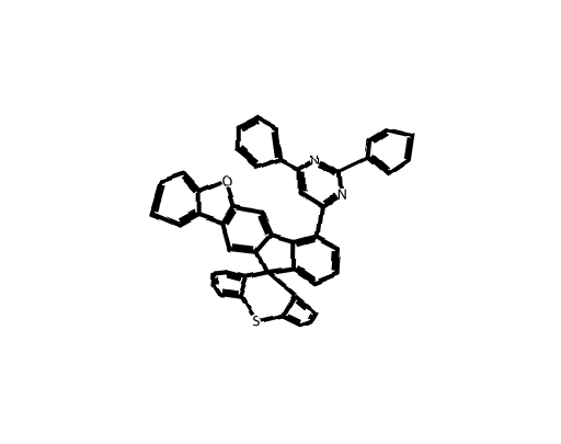 c1ccc(-c2cc(-c3cccc4c3-c3cc5oc6ccccc6c5cc3C43c4ccccc4Sc4ccccc43)nc(-c3ccccc3)n2)cc1